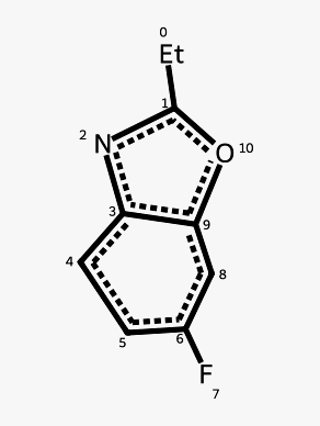 CCc1nc2ccc(F)cc2o1